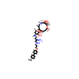 CC[C@H]1OC(=O)[C@H](C)C[C@H](C)[C@@H](O[C@@H]2O[C@H](C)C[C@H](N(C)CC/C(N)=C/NCCCOc3ccc(-c4ccc(C#N)cc4)cc3)[C@H]2O)[C@](C)(O)C[C@@H](C)CN(C)[C@H](C)[C@@H](O)[C@]1(C)O